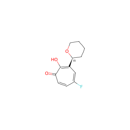 O=c1ccc(F)cc([C@@H]2CCCCO2)c1O